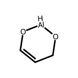 C1=C[O][AlH][O]C1